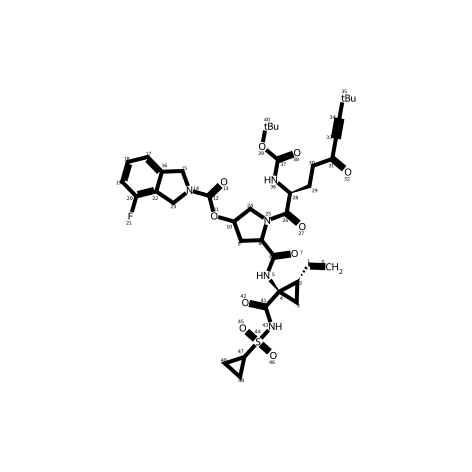 C=C[C@@H]1C[C@]1(NC(=O)C1CC(OC(=O)N2Cc3cccc(F)c3C2)CN1C(=O)[C@H](CCC(=O)C#CC(C)(C)C)NC(=O)OC(C)(C)C)C(=O)NS(=O)(=O)C1CC1